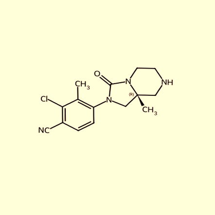 Cc1c(N2C[C@@]3(C)CNCCN3C2=O)ccc(C#N)c1Cl